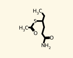 CCC(CCC(N)=O)SC(C)=O